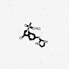 CS(=O)(=O)n1cc(Cl)c2ccc(N=C3NCCN3)cc21.Cl